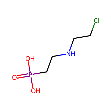 O=P(O)(O)CCNCCCl